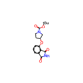 CC(C)(C)OC(=O)N1CC[C@H](Oc2cccc3c2C(=O)NC3=O)C1